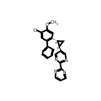 COc1cc([C@@H]2C[C@H]2c2cnc(-c3ncccn3)nc2)c(-c2ccccc2)cc1Cl